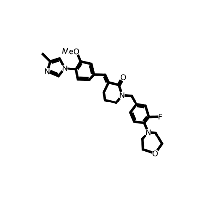 COc1cc(C=C2CCCN(Cc3ccc(N4CCOCC4)c(F)c3)C2=O)ccc1-n1cnc(C)c1